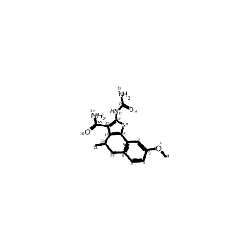 COc1ccc2c(c1)-c1sc(NC(N)=O)c(C(N)=O)c1C(C)C2